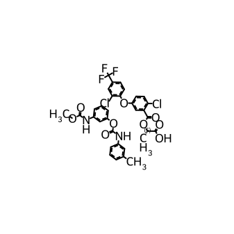 COC(=O)Nc1cccc(OC(=O)Nc2cccc(C)c2)c1.C[C@H](OC(=O)c1cc(Oc2ccc(C(F)(F)F)cc2Cl)ccc1Cl)C(=O)O